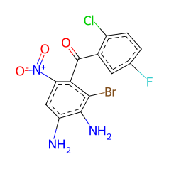 Nc1cc([N+](=O)[O-])c(C(=O)c2cc(F)ccc2Cl)c(Br)c1N